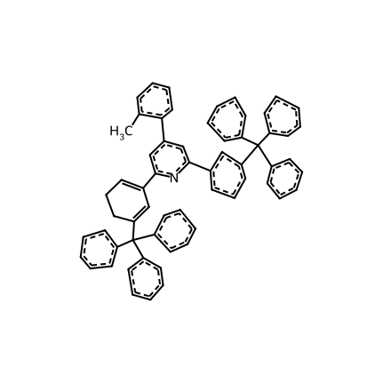 Cc1ccccc1-c1cc(C2=CCCC(C(c3ccccc3)(c3ccccc3)c3ccccc3)=C2)nc(-c2cccc(C(c3ccccc3)(c3ccccc3)c3ccccc3)c2)c1